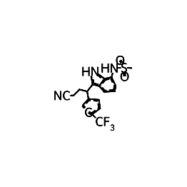 CS(=O)(=O)Nc1cccc2c(C(CCC#N)c3ccc(C(F)(F)F)cc3)c[nH]c12